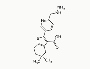 CC1(C)CCc2sc(-c3ccc(CNN)nc3)c(C(=O)O)c2C1